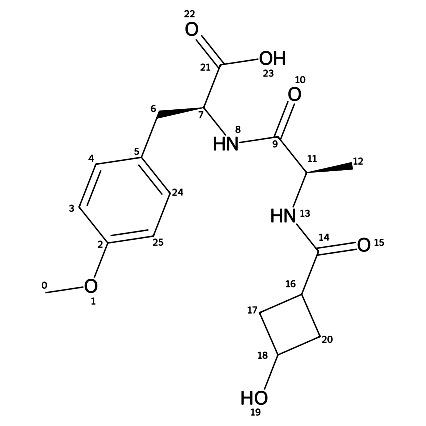 COc1ccc(C[C@H](NC(=O)[C@@H](C)NC(=O)C2CC(O)C2)C(=O)O)cc1